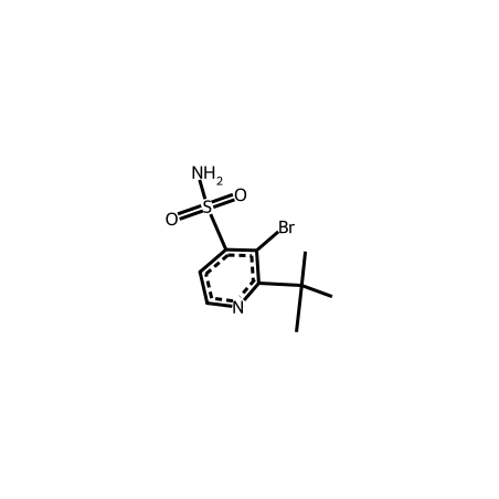 CC(C)(C)c1nccc(S(N)(=O)=O)c1Br